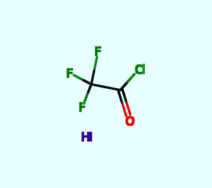 I.O=C(Cl)C(F)(F)F